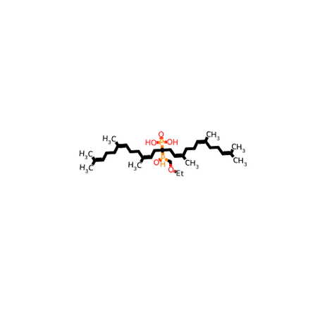 CCOC[PH](=O)C(CC=C(C)CCC=C(C)CCC=C(C)C)(CC=C(C)CCC=C(C)CCC=C(C)C)P(=O)(O)O